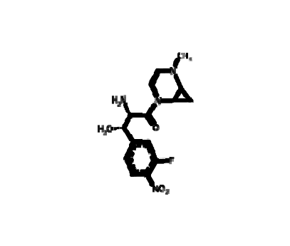 C[C@@H](c1ccc([N+](=O)[O-])c(F)c1)[C@@H](N)C(=O)N1CCN(C)C2CC21